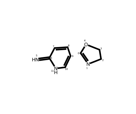 C1=NCCO1.N=c1cccc[nH]1